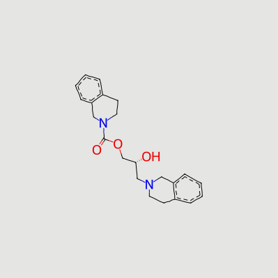 O=C(OC[C@H](O)CN1CCc2ccccc2C1)N1CCc2ccccc2C1